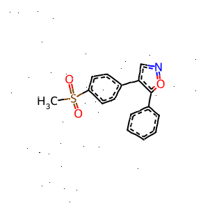 CS(=O)(=O)c1ccc(-c2cnoc2-c2ccccc2)cc1